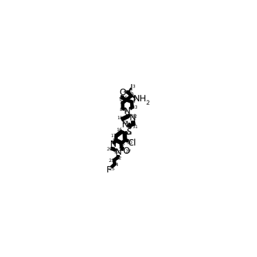 N[C@@H]1[C@H](I)OCC12CCN(c1cnc(Sc3ccc4ncn(CCCF)c(=O)c4c3Cl)cn1)CC2